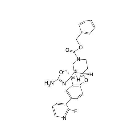 NC1=N[C@]2(CO1)c1cc(-c3cccnc3F)ccc1O[C@H]1CCN(C(=O)OCc3ccccc3)C[C@@H]12